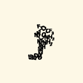 CC(C)(C)OC(=O)N1CC2[C@@H]3[C@H](n4nc(-c5cnn(Cc6cc(C(F)(F)F)ccc6F)c5)c(C(N)=O)c4N)C[C@]23C1